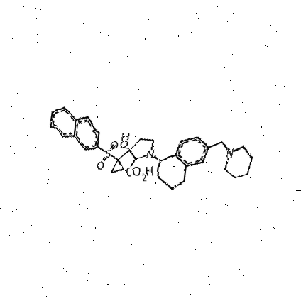 O=C(O)C1N([C@@H]2CCCc3cc(CN4CCCCC4)ccc32)CC[C@]1(O)C1(S(=O)(=O)c2ccc3ccccc3c2)CC1